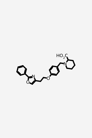 O=C(O)C1CCCCN1Cc1ccc(OCCc2coc(-c3ccccc3)n2)cc1